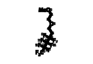 COCCOCCC(F)(F)C(F)(F)C(F)(F)C(F)(F)F